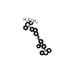 C=CC1=C(/C=C\C)N(c2ccc3c(ccc4cc(/C=C/c5ccc6c(c5)C5(CCCC5)c5cc(N7C8=C(CCCC8)CCc8ccccc87)ccc5-6)ccc43)c2)c2ccccc2CC1